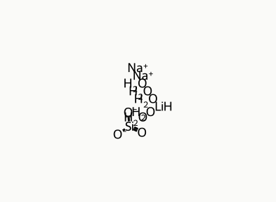 O.O.O.O.O.O=[Si]([O-])[O-].[LiH].[Na+].[Na+]